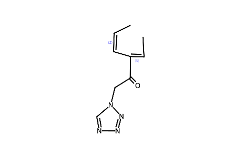 C/C=C\C(=C/C)C(=O)Cn1cnnn1